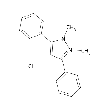 Cn1c(-c2ccccc2)cc(-c2ccccc2)[n+]1C.[Cl-]